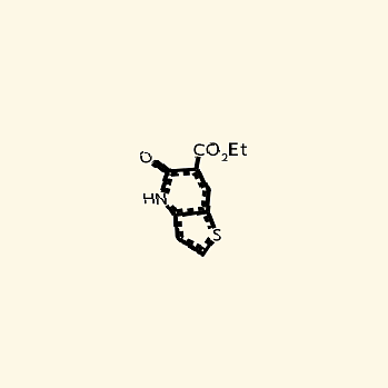 CCOC(=O)c1cc2sccc2[nH]c1=O